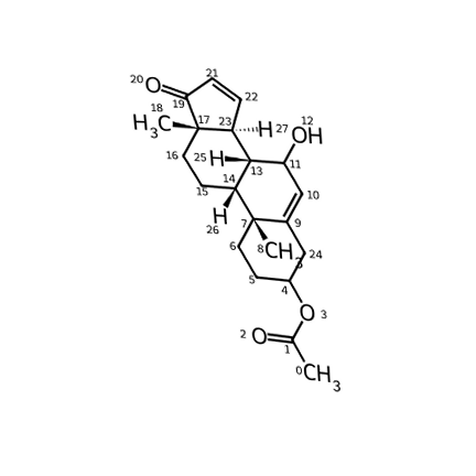 CC(=O)OC1CC[C@@]2(C)C(=CC(O)[C@@H]3[C@H]2CC[C@]2(C)C(=O)C=C[C@@H]32)C1